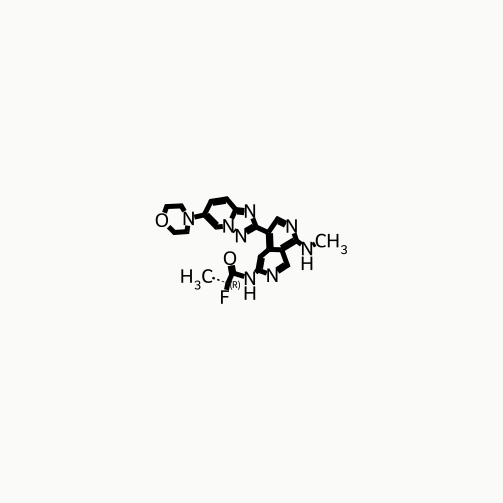 CNc1ncc(-c2nc3ccc(N4CCOCC4)cn3n2)c2cc(NC(=O)[C@@H](C)F)ncc12